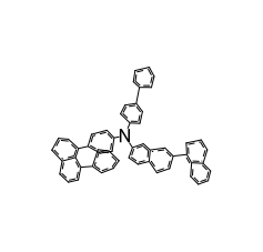 c1ccc(-c2ccc(N(c3ccc(-c4cccc5cccc(-c6ccccc6)c45)cc3)c3ccc4ccc(-c5cccc6ccccc56)cc4c3)cc2)cc1